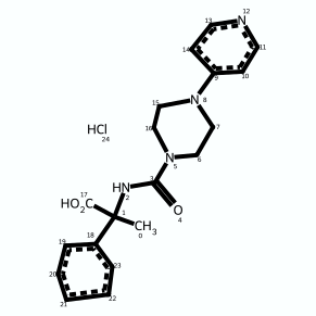 CC(NC(=O)N1CCN(c2ccncc2)CC1)(C(=O)O)c1ccccc1.Cl